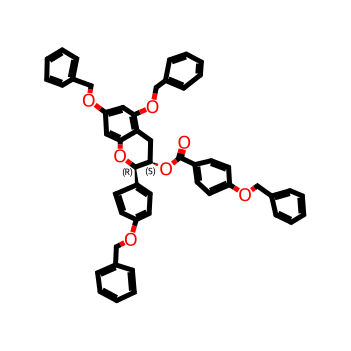 O=C(O[C@H]1Cc2c(OCc3ccccc3)cc(OCc3ccccc3)cc2O[C@@H]1c1ccc(OCc2ccccc2)cc1)c1ccc(OCc2ccccc2)cc1